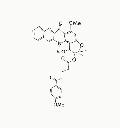 COc1ccc(C(=O)CCCC(=O)OC2C(OC(C)=O)c3c(cc(OC)c4c(=O)c5cc6ccccc6cc5n(C)c34)OC2(C)C)cc1